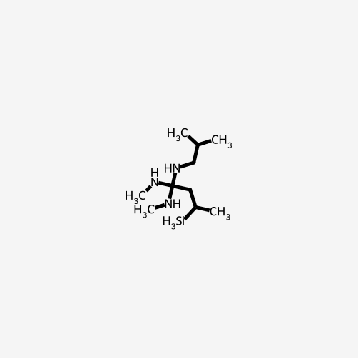 CNC(CC(C)[SiH3])(NC)NCC(C)C